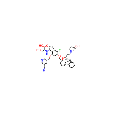 CC(NC(CO)C(=O)O)c1cc(Cl)c(OCC2(OCCCN3CC[C@@H](O)C3)C=CC=C(c3ccccc3)C2(C)C)cc1OCc1cncc(C#N)c1